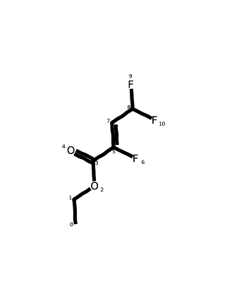 CCOC(=O)C(F)=CC(F)F